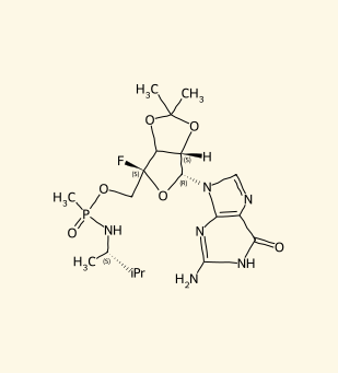 CC(C)[C@H](C)NP(C)(=O)OC[C@@]1(F)O[C@@H](n2cnc3c(=O)[nH]c(N)nc32)[C@H]2OC(C)(C)OC21